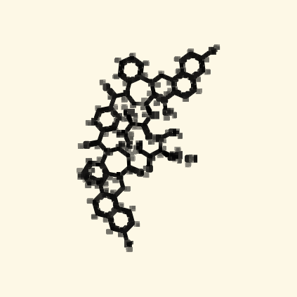 CN[C@@H](C)C(=O)N[C@H]1CN(C(=O)c2cnc(C(=O)N3C[C@H](NC(=O)[C@H](C)NC)C(=O)N(Cc4c(OC)ccc5cc(Br)ccc45)c4ccccc43)cn2)c2ccccc2N(Cc2c(OC)ccc3cc(Br)ccc23)C1=O.Cl.Cl